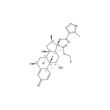 Cc1ncsc1C(=O)O[C@]1(C(=O)SCF)[C@H](C)C[C@H]2[C@@H]3C[C@H](F)C4=CC(=O)C=C[C@]4(C)[C@@]3(F)[C@@H](O)C[C@@]21C